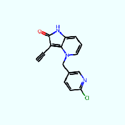 C#Cc1c2n(Cc3ccc(Cl)nc3)cccc-2[nH]c1=O